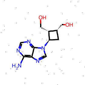 Nc1ncnc2c1ncn2[C@@H]1C[C@@H](CO)[C@H]1CO